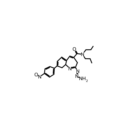 CCCN(CCC)C(=O)C1=CC2=CC=C(c3ccc(N=O)cc3)CC2N=C(N=NN)C1